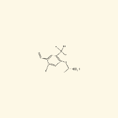 C=Cc1cc(C(F)(F)CC)c(O[C@@H](C)C(=O)O)cc1F